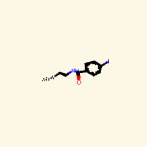 CNCCNC(=O)c1ccc(I)cc1